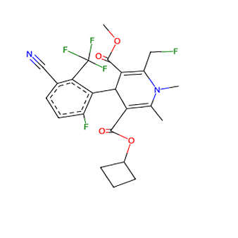 COC(=O)C1=C(CF)N(C)C(C)=C(C(=O)OC2CCC2)C1c1c(F)ccc(C#N)c1C(F)(F)F